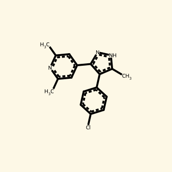 Cc1cc(-c2n[nH]c(C)c2-c2ccc(Cl)cc2)cc(C)n1